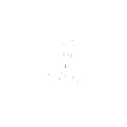 c1ccc(-c2cccc(N(c3ccc(-c4ccc5c(c4)C4(c6ccccc6Oc6ccccc64)c4ccccc4-5)cc3)c3ccc(-c4ccccc4)cc3-c3ccccc3)c2)cc1